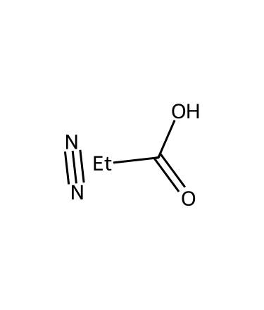 CCC(=O)O.N#N